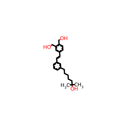 CC(C)(O)CCCCCc1cccc(C=Cc2ccc(CO)c(CO)c2)c1